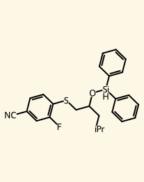 CC(C)CC(CSc1ccc(C#N)cc1F)O[SiH](c1ccccc1)c1ccccc1